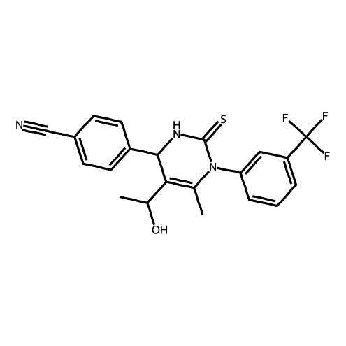 CC1=C(C(C)O)C(c2ccc(C#N)cc2)NC(=S)N1c1cccc(C(F)(F)F)c1